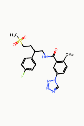 COc1ccc(-n2cnnn2)cc1C(=O)NCC(CCS(C)(=O)=O)c1ccc(F)cc1